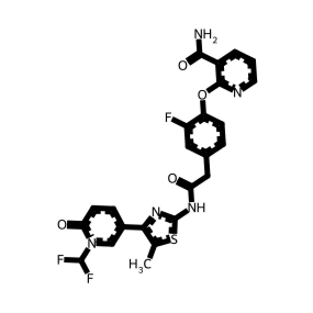 Cc1sc(NC(=O)Cc2ccc(Oc3ncccc3C(N)=O)c(F)c2)nc1-c1ccc(=O)n(C(F)F)c1